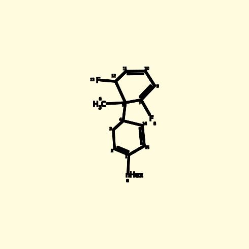 CCCCCCC1=CCC(C2(C)C(F)=CC=CC2F)C=C1